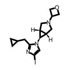 Ic1cn([C@H]2[C@@H]3CN(C4COC4)C[C@@H]32)c(CC2CC2)n1